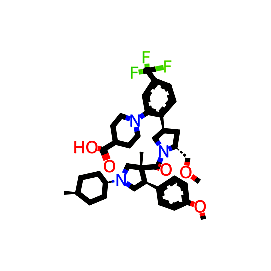 COC[C@H]1C[C@H](c2ccc(C(F)(F)F)cc2N2CCC(C(=O)O)CC2)CN1C(=O)[C@@]1(C)CN([C@H]2CC[C@H](C)CC2)C[C@@H]1c1ccc(OC)cc1